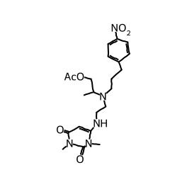 CC(=O)OCC(C)N(CCCc1ccc([N+](=O)[O-])cc1)CCNc1cc(=O)n(C)c(=O)n1C